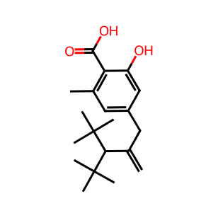 C=C(Cc1cc(C)c(C(=O)O)c(O)c1)C(C(C)(C)C)C(C)(C)C